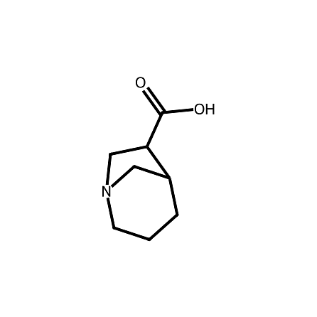 O=C(O)C1CN2CCCC1C2